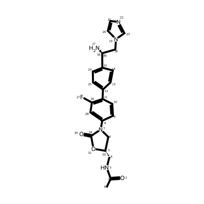 CC(=O)NC[C@H]1CN(c2ccc(-c3ccc([C@@H](N)Cn4ccnc4)cc3)c(F)c2)C(=O)O1